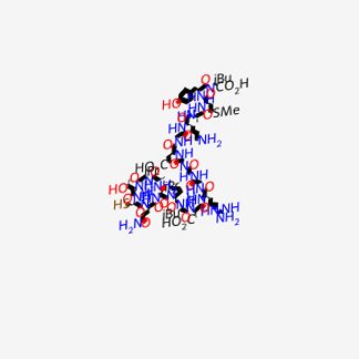 CC[C@H](C)[C@H](NC(=O)[C@H](Cc1ccc(O)cc1)NC(=O)[C@H](CCSC)NC(=O)[C@H](C)NC(=O)[C@H](CCCCN)NC(=O)CNC(=O)[C@H](CCC(=O)O)NC(=O)CNC(=O)CNC(=O)CNC(=O)[C@H](CCCNC(=N)N)NC(=O)[C@H](CC(=O)O)NC(=O)[C@@H](NC(=O)[C@@H]1CCCN1C(=O)[C@H](CC(C)C)NC(=O)[C@H](CCC(N)=O)NC(=O)[C@H](CS)NC(=O)[C@@H](NC(=O)[C@@H](NC(=O)[C@H](C)N)C(C)C)[C@@H](C)O)[C@@H](C)CC)C(=O)O